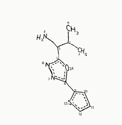 CC(C)C(N)c1nnc(-c2cccs2)o1